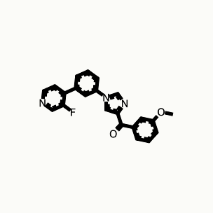 COc1cccc(C(=O)c2cn(-c3cccc(-c4ccncc4F)c3)cn2)c1